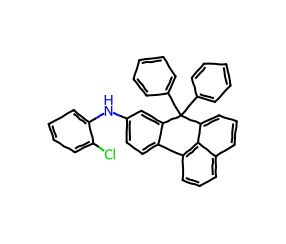 Clc1ccccc1Nc1ccc2c(c1)C(c1ccccc1)(c1ccccc1)c1cccc3cccc-2c13